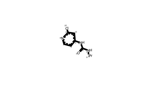 CC(C)NC(=O)Nc1ccnc(Cl)c1